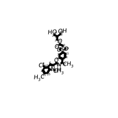 Cc1cc(Cl)c2cc(C(=O)N[C@H](C)c3ccc(S(=O)(=O)CC(=O)OCC(CO)CO)cc3)n(C)c2c1